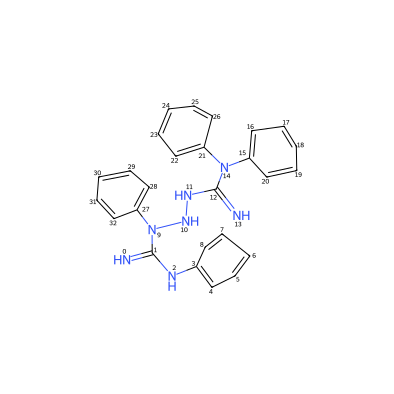 N=C(Nc1ccccc1)N(NNC(=N)N(c1ccccc1)c1ccccc1)c1ccccc1